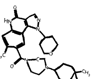 Cc1cc2[nH]c(=O)c3cnn(C4CCOCC4)c3c2cc1C(=O)N1CCN(C2CCC(C)(C)CC2)CC1